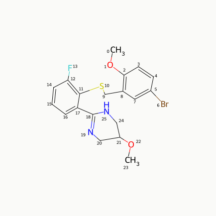 COc1ccc(Br)cc1CSc1c(F)cccc1C1=NCC(OC)CN1